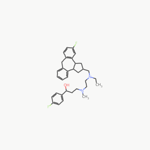 CCN(CCN(C)CCC(O)c1ccc(F)cc1)CC1CC2c3ccccc3Cc3ccc(F)cc3C2C1